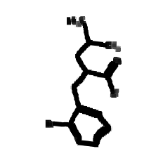 CC(C)CC(Cc1ccccc1Br)C(=O)Cl